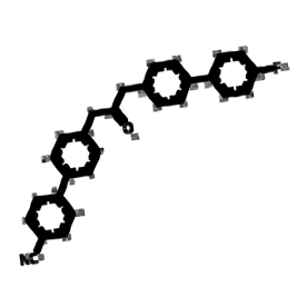 N#Cc1ccc(-c2ccc(CC(=O)Cc3ccc(-c4ccc(F)cc4)cc3)cc2)cc1